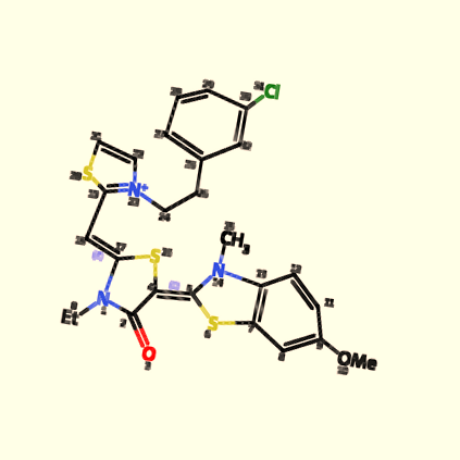 CCn1c(=O)/c(=C2\Sc3cc(OC)ccc3N2C)s/c1=C\c1scc[n+]1CCc1cccc(Cl)c1